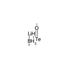 B.O=[Te].[LiH]